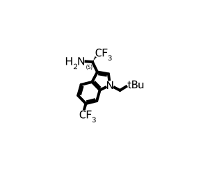 CC(C)(C)Cn1cc([C@H](N)C(F)(F)F)c2ccc(C(F)(F)F)cc21